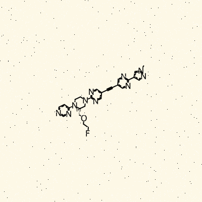 Cn1cc(-c2ncc(C#Cc3cnc(N4CCN(c5ccncn5)[C@@H](COCCF)C4)nc3)cn2)cn1